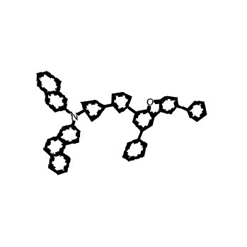 c1ccc(-c2ccc3oc4c(-c5cccc(-c6ccc(N(c7ccc8ccccc8c7)c7ccc8c(ccc9ccccc98)c7)cc6)c5)cc(-c5ccccc5)cc4c3c2)cc1